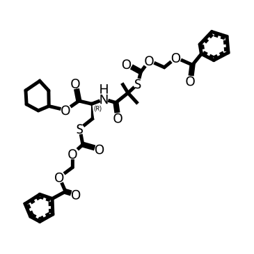 CC(C)(SC(=O)OCOC(=O)c1ccccc1)C(=O)N[C@@H](CSC(=O)OCOC(=O)c1ccccc1)C(=O)OC1CCCCC1